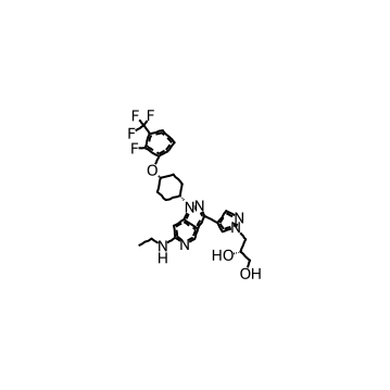 CCNc1cc2c(cn1)c(-c1cnn(C[C@@H](O)CO)c1)nn2[C@H]1CC[C@@H](Oc2cccc(C(F)(F)F)c2F)CC1